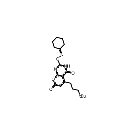 CC(C)(C)CCCc1cc(=O)oc2nc(ON=C3CCCCC3)[nH]c(=O)c12